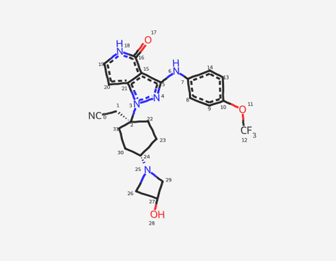 N#CC[C@]1(n2nc(Nc3ccc(OC(F)(F)F)cc3)c3c(=O)[nH]ccc32)CC[C@H](N2CC(O)C2)CC1